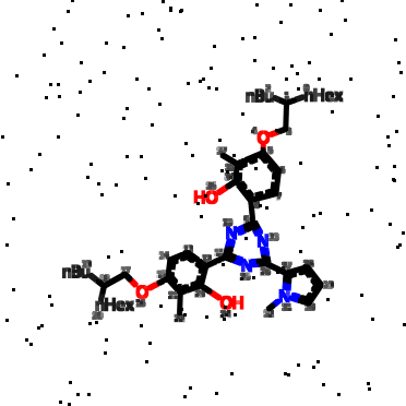 CCCCCCC(CCCC)COc1ccc(-c2nc(-c3ccc(OCC(CCCC)CCCCCC)c(C)c3O)nc(-c3cccn3C)n2)c(O)c1C